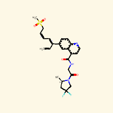 C=C/C(=C\C=C/CS(C)(=O)=O)c1ccc2nccc(C(=O)NCC(=O)N3CC(F)(F)C[C@H]3C#N)c2c1